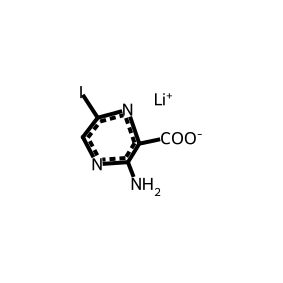 Nc1ncc(I)nc1C(=O)[O-].[Li+]